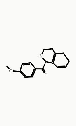 COc1ccc(C(=O)[C@H]2NCCC3=C2C=CCC3)cc1